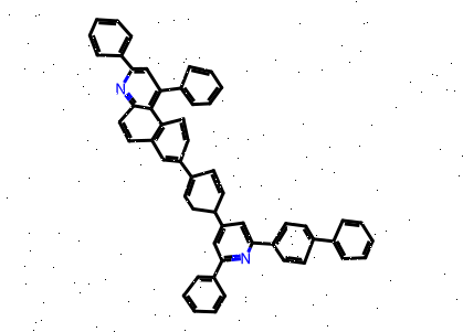 C1=CC(c2cc(-c3ccccc3)nc(-c3ccc(-c4ccccc4)cc3)c2)CC=C1c1ccc2c(ccc3nc(-c4ccccc4)cc(-c4ccccc4)c32)c1